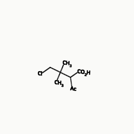 CC(=O)C(C(=O)O)C(C)(C)CCl